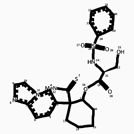 CNC(=S)C1(c2ccc3nccn3c2)CCCCC1OC(=O)[C@H](CO)NS(=O)(=O)c1ccccc1